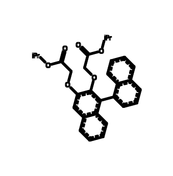 CC(C)OC(=O)COc1cc2ccccc2c(-c2cccc3ccccc23)c1OCC(=O)OC(C)C